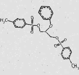 Cc1ccc(S(=O)(=O)OCC(COS(=O)(=O)c2ccc(C)cc2)Oc2ccccc2)cc1